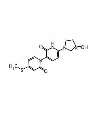 CSc1ccn(-c2ccc(N3CC[C@@H](O)C3)[nH]c2=O)c(=O)c1